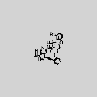 CNc1ncc(C#Cc2ccncc2OCCCCOc2cccc(Br)n2)c2cc(NC(=O)OC(C)(C)C)ncc12